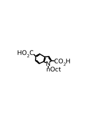 CCCCCCCCn1c(C(=O)O)cc2cc(C(=O)O)ccc21